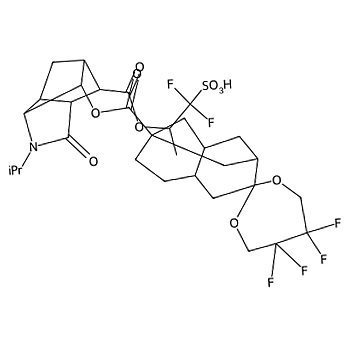 CC(C)N1C(=O)C2C3CC(C(OC(=O)C45CCC6CC7(OCC(F)(F)C(F)(F)CO7)C(CC6C4)C5)C31)C2C(=O)OC(C)C(F)(F)S(=O)(=O)O